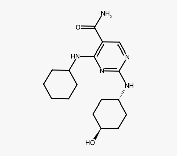 NC(=O)c1cnc(N[C@H]2CC[C@H](O)CC2)nc1NC1CCCCC1